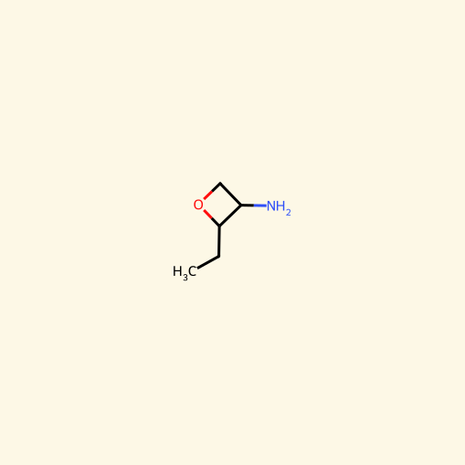 CCC1OCC1N